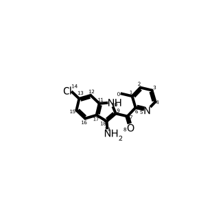 Cc1cccnc1C(=O)c1[nH]c2cc(Cl)ccc2c1N